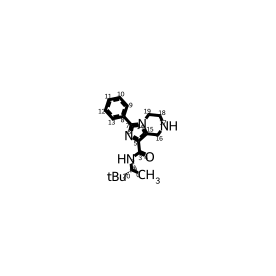 C[C@@H](NC(=O)c1nc(-c2ccccc2)n2c1CNCC2)C(C)(C)C